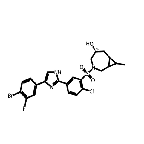 CC1C2C[C@H](O)CN(S(=O)(=O)c3cc(-c4nc(-c5ccc(Br)c(F)c5)c[nH]4)ccc3Cl)CC12